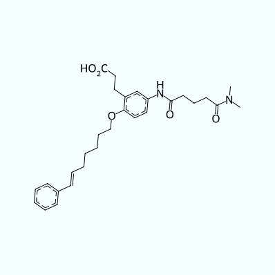 CN(C)C(=O)CCCC(=O)Nc1ccc(OCCCCC/C=C/c2ccccc2)c(CCC(=O)O)c1